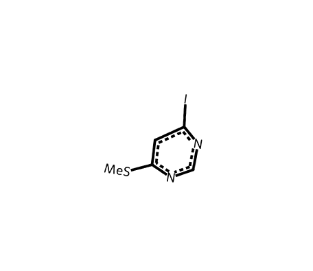 CSc1cc(I)ncn1